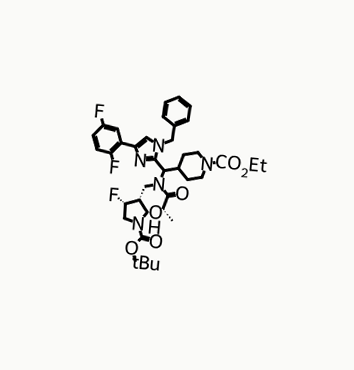 CCOC(=O)N1CCC(C(c2nc(-c3cc(F)ccc3F)cn2Cc2ccccc2)N(C[C@@H]2CN(C(=O)OC(C)(C)C)C[C@@H]2F)C(=O)[C@H](C)O)CC1